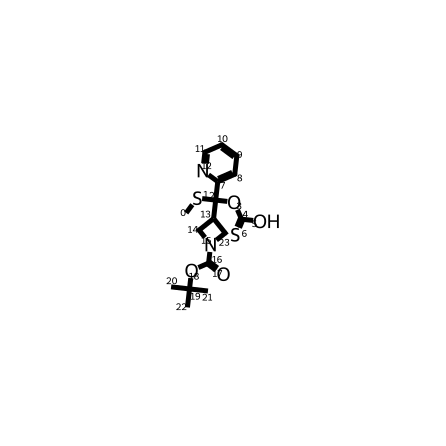 CSC(OC(O)=S)(c1ccccn1)C1CN(C(=O)OC(C)(C)C)C1